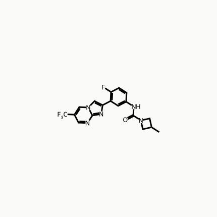 CC1CN(C(=O)Nc2ccc(F)c(-c3cn4cc(C(F)(F)F)cnc4n3)c2)C1